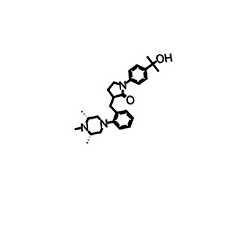 C[C@@H]1CN(c2ccccc2CC2CCN(c3ccc(C(C)(C)O)cc3)C2=O)C[C@H](C)N1C